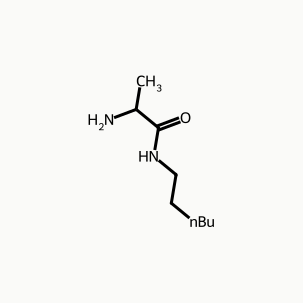 CCCCCCNC(=O)C(C)N